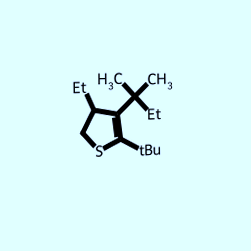 CCC1CSC(C(C)(C)C)=C1C(C)(C)CC